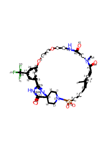 Cc1cc2ccc1CCS(=O)(=O)N1CCC3(CC1)N=C(NC3=O)c1cc(cc(C(F)(F)F)c1)OCCOCCNC(=O)CN(C)C2=O